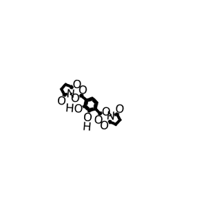 O=C(ON1C(=O)CCC1=O)c1ccc(C(=O)ON2C(=O)CCC2=O)c(O)c1O